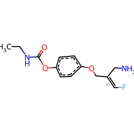 CCNC(=O)Oc1ccc(OC/C(=C/F)CN)cc1